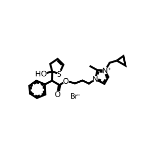 Cc1n(CCCOC(=O)C(c2ccccc2)C2(O)CC=CS2)cc[n+]1CC1CC1.[Br-]